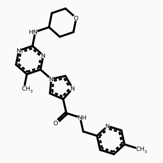 Cc1ccc(CNC(=O)c2cn(-c3nc(NC4CCOCC4)ncc3C)cn2)nc1